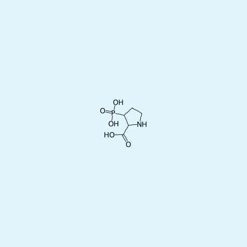 O=C(O)C1NCCC1P(=O)(O)O